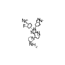 Cn1ncc2cc(-n3c(-c4ccc(C#N)c(F)c4)nc4c(N5CCC[C@@H](N)C5)ccnc43)ccc21